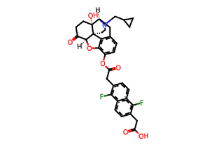 O=C(O)Cc1ccc2c(F)c(CC(=O)Oc3ccc4c5c3O[C@H]3C(=O)CC[C@@]6(O)[C@@H](C4)N(CC4CC4)CC[C@]536)ccc2c1F